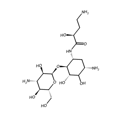 NCC[C@H](O)C(=O)N[C@@H]1C[C@H](N)C(O)[C@H](O)[C@H]1O[C@H]1O[C@H](CO)[C@@H](O)[C@H](N)[C@H]1O